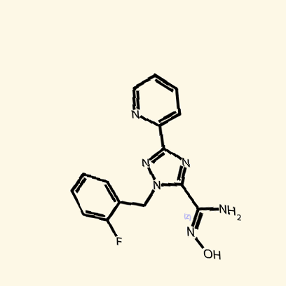 N/C(=N\O)c1nc(-c2ccccn2)nn1Cc1ccccc1F